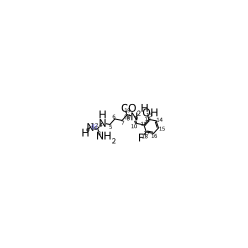 [H]/N=C(\N)NCCC[C@H](N=Cc1c(O)cccc1F)C(=O)O